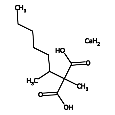 CCCCCC(C)C(C)(C(=O)O)C(=O)O.[CaH2]